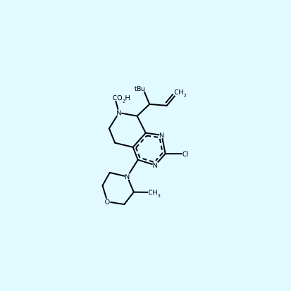 C=CC(C1c2nc(Cl)nc(N3CCOCC3C)c2CCN1C(=O)O)C(C)(C)C